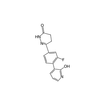 O=C1CCC(c2ccc(-c3cccnc3O)c(F)c2)=NN1